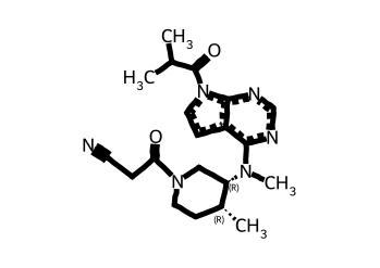 CC(C)C(=O)n1ccc2c(N(C)[C@H]3CN(C(=O)CC#N)CC[C@H]3C)ncnc21